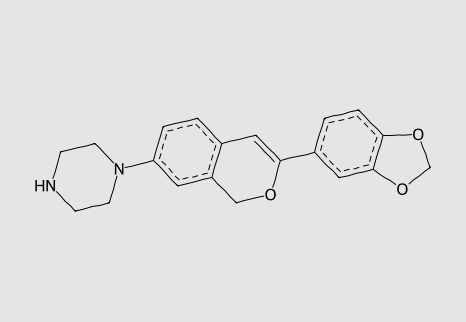 C1=C(c2ccc3c(c2)OCO3)OCc2cc(N3CCNCC3)ccc21